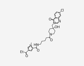 CCC(=O)c1cc(C(=O)NCCCCC(=O)N2CCC(O)(Cn3cnc4cc(Cl)ccc4c3=O)CC2)n(C)c1